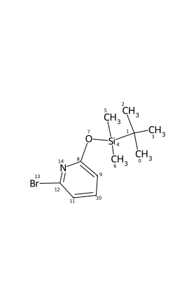 CC(C)(C)[Si](C)(C)Oc1cccc(Br)n1